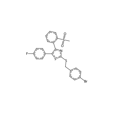 CS(=O)(=O)c1ccccc1-c1nc(SCc2ccc(Br)cc2)sc1-c1ccc(F)cc1